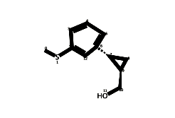 CSc1cccc([C@@H]2C[C@H]2CO)c1